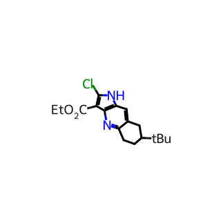 CCOC(=O)c1c(Cl)[nH]c2cc3c(nc12)CCC(C(C)(C)C)C3